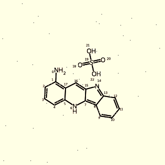 Nc1cccc2[nH]c3c4ccccc4nc-3cc12.O=S(=O)(O)O